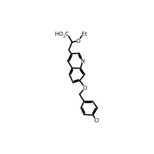 CCOC(Cc1cnc2cc(OCc3ccc(Cl)cc3)ccc2c1)C(=O)O